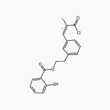 C/C(=C/c1cccc(CCOC(=O)c2ccccc2O)c1)C(=O)Cl